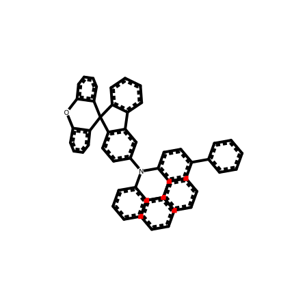 c1ccc(-c2ccc(N(c3ccc4c(c3)-c3ccccc3C43c4ccccc4Oc4ccccc43)c3ccccc3-c3ccccc3)c(-c3ccccc3)c2)cc1